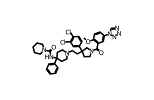 COc1ccc(-n2cnnn2)cc1C(=O)N1CCC(CCN2CCC(NC(=O)N3CCCCC3)(c3ccccc3)CC2)(c2ccc(Cl)c(Cl)c2)C1